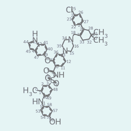 Cc1cc(S(=O)(=O)NC(=O)c2ccc(N3CCN(CC4=C(c5ccc(Cl)cc5)CC(C)(C)CC4)CC3)cc2Oc2ccc3[nH]ccc3c2)ccc1Nc1ccc(O)cc1